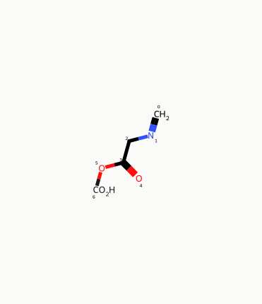 C=NCC(=O)OC(=O)O